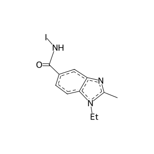 CCn1c(C)nc2cc(C(=O)NI)ccc21